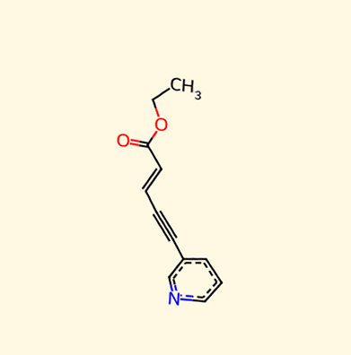 CCOC(=O)/C=C/C#Cc1cccnc1